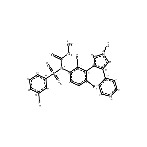 CCCOC(=O)N(c1ccc(F)c(-c2nn(CC)cc2-c2ccncc2)c1F)S(=O)(=O)c1cccc(F)c1